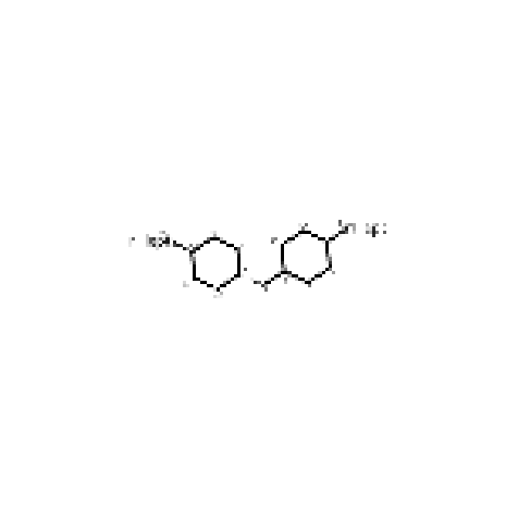 CCCCCCCC1CCC(C[C@H]2CC[C@H](CCCCCCC)CC2)CC1